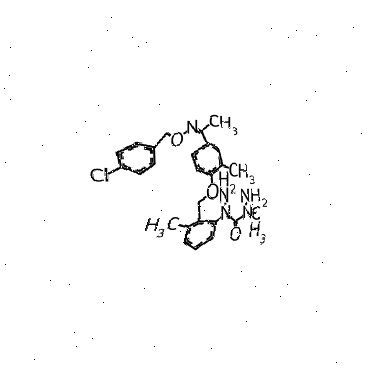 CC(=NOCc1ccc(Cl)cc1)c1ccc(OCc2c(C)cccc2N(N)C(=O)N(C)N)c(C)c1